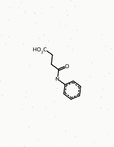 O=C(O)CCC(=O)[N]c1ccccc1